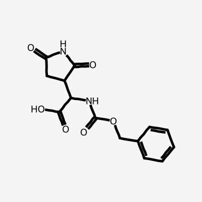 O=C1CC(C(NC(=O)OCc2ccccc2)C(=O)O)C(=O)N1